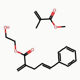 C=C(C)C(=O)OC.C=C(CC=Cc1ccccc1)C(=O)OCCO